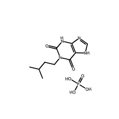 CC(C)CCn1c(=O)[nH]c2nc[nH]c2c1=O.O=P(O)(O)O